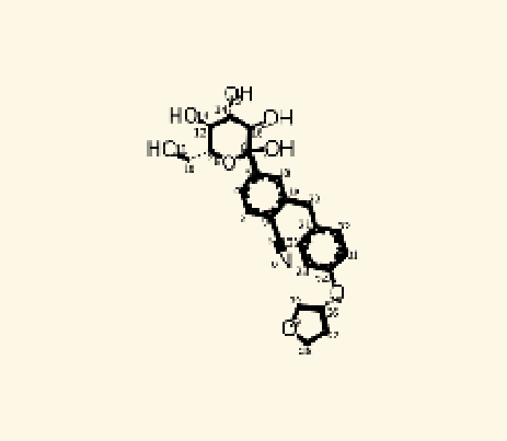 N#Cc1ccc([C@]2(O)O[C@H](CO)[C@@H](O)[C@H](O)[C@H]2O)cc1Cc1ccc(O[C@@H]2CCOC2)cc1